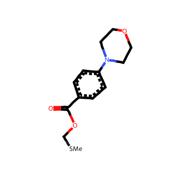 CSCOC(=O)c1ccc(N2CCOCC2)cc1